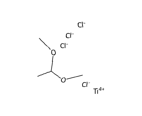 COC(C)OC.[Cl-].[Cl-].[Cl-].[Cl-].[Ti+4]